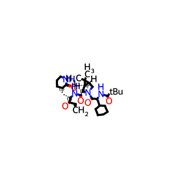 C=CC(=O)[C@H](C[C@@H]1CCCNC1=O)NC(=O)[C@@H]1[C@@H]2[C@H](CN1C(=O)C(NC(=O)C(C)(C)C)C1CCCCC1)C2(C)C